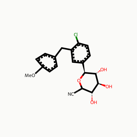 COc1ccc(Cc2cc([C@@H]3OC(C#N)[C@@H](O)[C@H](O)[C@H]3O)ccc2Cl)cc1